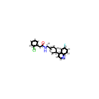 C[C@@H](NC(=O)Cc1ccccc1Cl)C1CCC(c2ccnc3ccc(F)cc23)CC1